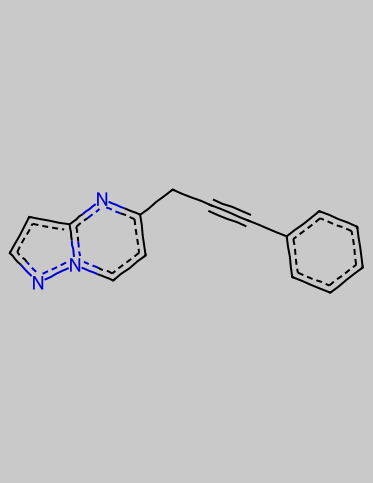 C(#Cc1ccccc1)Cc1ccn2nccc2n1